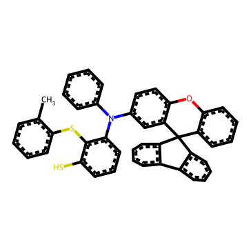 Cc1ccccc1Sc1c(S)cccc1N(c1ccccc1)c1ccc2c(c1)C1(c3ccccc3O2)c2ccccc2-c2ccccc21